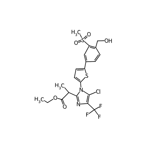 CCOC(=O)C(C)c1nc(C(F)(F)F)c(Cl)n1-c1ccc(-c2ccc(CO)c(S(C)(=O)=O)c2)s1